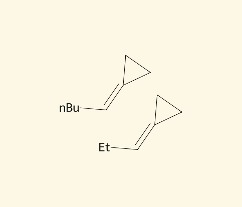 CCC=C1CC1.CCCCC=C1CC1